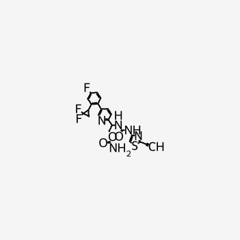 C#Cc1nc(NC(=O)NC(COC(N)=O)c2ccc(-c3ccc(F)cc3C3CC3(F)F)cn2)cs1